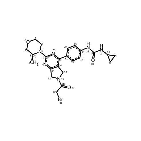 C[C@H]1COCCN1c1nc2c(c(-c3ccc(NC(=O)NC4CC4)cc3)n1)CN(C(=O)CBr)C2